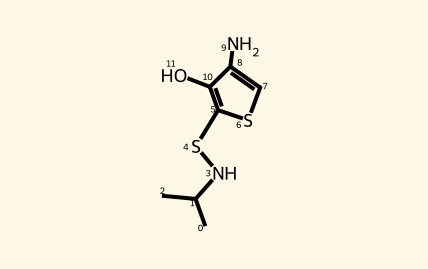 CC(C)NSc1scc(N)c1O